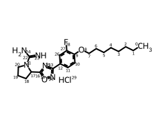 CCCCCCCCOc1ccc(-c2noc(C3CCCN3C(=N)N)n2)cc1F.Cl